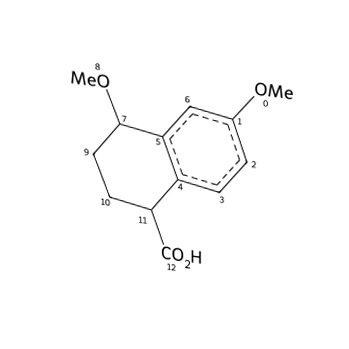 COc1ccc2c(c1)C(OC)CCC2C(=O)O